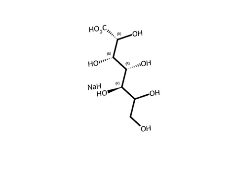 O=C(O)[C@H](O)[C@@H](O)[C@H](O)[C@H](O)C(O)CO.[NaH]